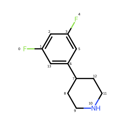 Fc1cc(F)cc(C2CCNCC2)c1